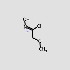 COC/C(Cl)=N/O